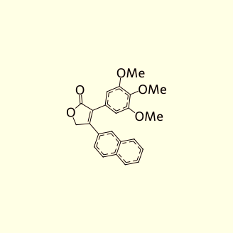 COc1cc(C2=C(c3ccc4ccccc4c3)COC2=O)cc(OC)c1OC